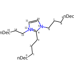 CCCCCCCCCCCCCc1n(CCCCCCCCCCCCC)cc[n+]1CCCCCCCCCCCC